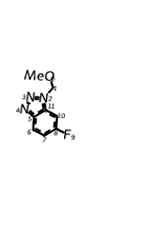 COCn1nnc2ccc(F)cc21